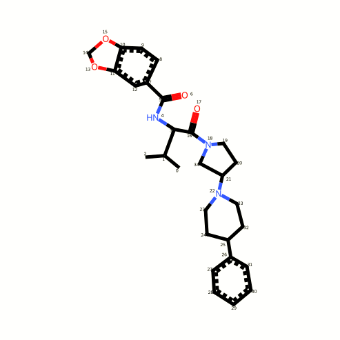 CC(C)C(NC(=O)c1ccc2c(c1)OCO2)C(=O)N1CCC(N2CCC(c3ccccc3)CC2)C1